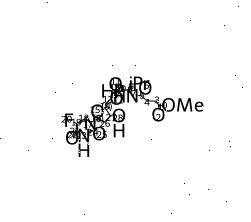 COC(=O)CCC(=O)NC(C(C)C)[PH](=O)OC[C@@H]1O[C@H](n2cc(F)c(=O)[nH]c2=O)CC1O